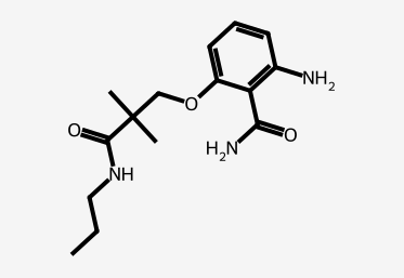 CCCNC(=O)C(C)(C)COc1cccc(N)c1C(N)=O